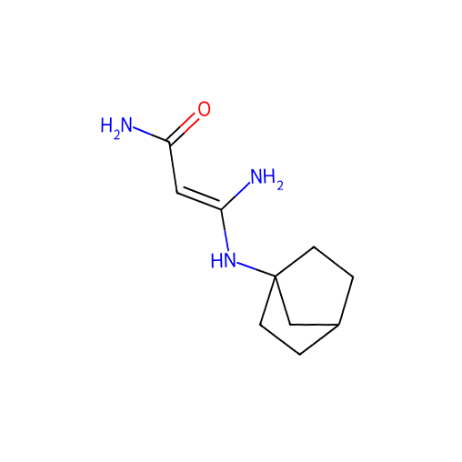 NC(=O)C=C(N)NC12CCC(CC1)C2